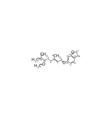 COC(CC/C(C)=C/COc1ccc2c(c1)OCC2)C(C)C